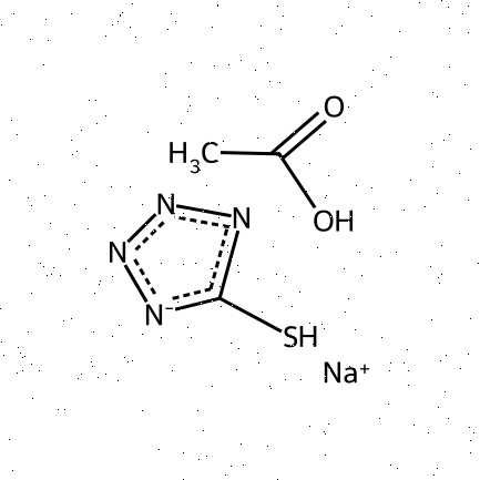 CC(=O)O.Sc1nnn[n-]1.[Na+]